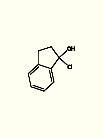 OC1(Cl)CCc2ccccc21